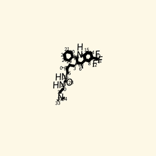 C[C@H](CC[C@@H]1[C@H](C)c2cc(C(F)(F)F)ccc2N[C@H]1C1C=CC=CC1)CNC(=O)NCCN(C)C